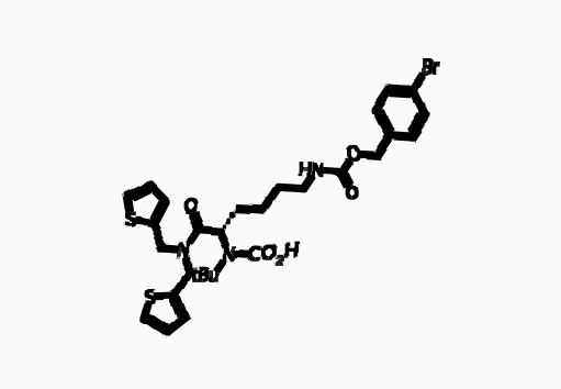 CC(C)(C)N(C(=O)O)[C@@H](CCCCNC(=O)OCc1ccc(Br)cc1)C(=O)N(Cc1cccs1)Cc1cccs1